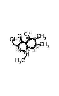 CCn1nc(CO)c(=O)c2c(Cl)c(C)c(C)cc21